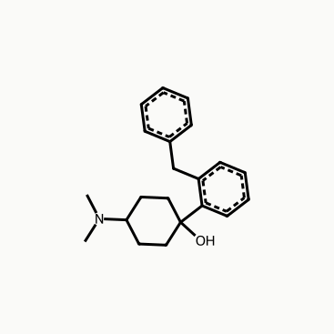 CN(C)C1CCC(O)(c2ccccc2Cc2ccccc2)CC1